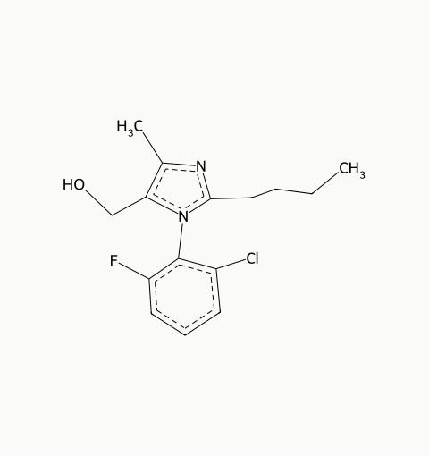 CCCCc1nc(C)c(CO)n1-c1c(F)cccc1Cl